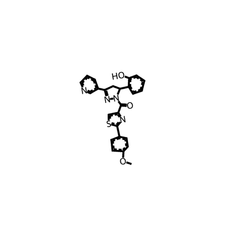 COc1ccc(-c2nc(C(=O)N3N=C(c4cccnc4)CC3c3ccccc3O)cs2)cc1